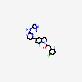 Cn1nccc1Nc1nccc(-c2cc(F)c3c(c2)CCN3C(=O)Cc2cc(Cl)ccc2F)n1